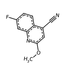 COc1cc(C#N)c2ccc(F)cc2n1